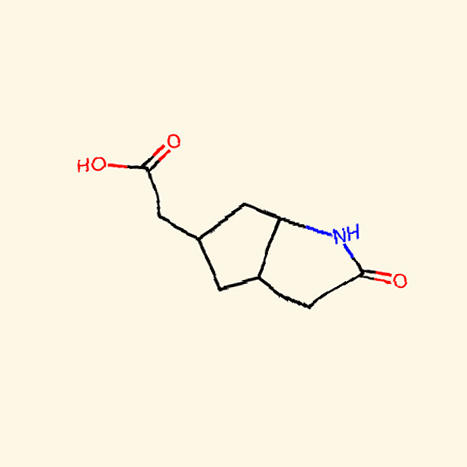 O=C(O)CC1CC2CC(=O)NC2C1